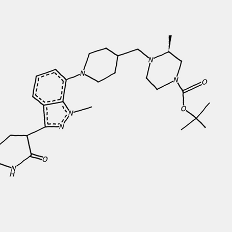 C[C@H]1CN(C(=O)OC(C)(C)C)CCN1CC1CCN(c2cccc3c(C4CCC(=O)NC4=O)nn(C)c23)CC1